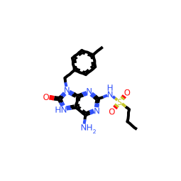 CCCS(=O)(=O)Nc1nc(N)c2[nH]c(=O)n(Cc3ccc(C)cc3)c2n1